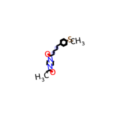 CCC(=O)N1CCN(C(=O)/C=C/C=C/c2ccc(SC)cc2)CC1